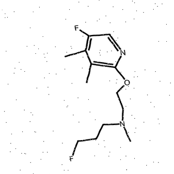 Cc1c(F)cnc(OCCN(C)CCCF)c1C